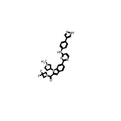 CN1CCC(n2c(C(=O)N3CC(F)(F)C3)cc3ccc(-c4nccc(Nc5ccc(-c6cn[nH]c6)cc5)n4)cc32)C1